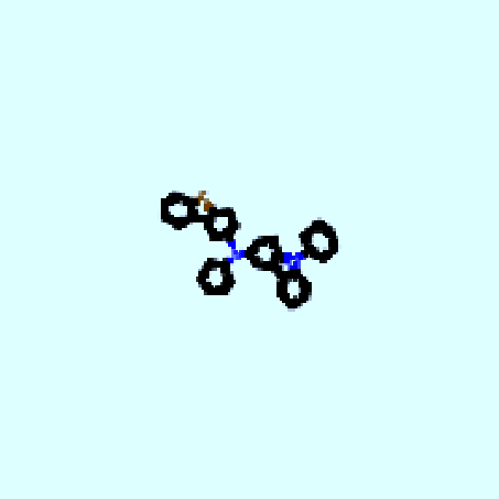 c1ccc(N(c2ccc3sc4ccccc4c3c2)c2ccc3c(c2)c2ccccc2n3-c2ccccc2)cc1